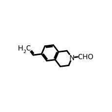 C=Cc1ccc2c(c1)CCN(C=O)C2